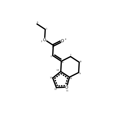 CCOC(=O)/C=C1\CCCc2occc21